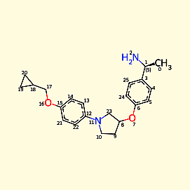 C[C@H](N)c1ccc(OC2CCN(c3ccc(OCC4CC4)cc3)C2)cc1